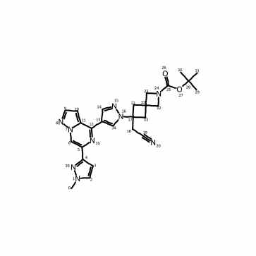 Cn1ccc(-c2cn3nccc3c(-c3cnn(C4(CC#N)CC5(CN(C(=O)OC(C)(C)C)C5)C4)c3)n2)n1